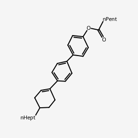 CCCCCCCC1CC=C(c2ccc(-c3ccc(OC(=O)CCCCC)cc3)cc2)CC1